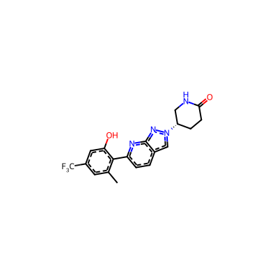 Cc1cc(C(F)(F)F)cc(O)c1-c1ccc2cn([C@H]3CCC(=O)NC3)nc2n1